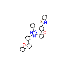 c1ccc(-c2nc(-c3cccc(-c4cccc5c4oc4ccccc45)c3)nc(-c3cccc4oc5cc(-c6nc7ccccc7s6)ccc5c34)n2)cc1